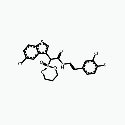 O=C(N/C=C/c1ccc(F)c(Cl)c1)C(c1csc2ccc(Cl)cc12)P1(=O)OCCCO1